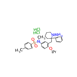 Cc1ccc(S(=O)(=O)N(C)c2ccc(OC(C)C)c(CC3(c4ccccc4)CCCCN3N)c2)cc1.Cl.Cl